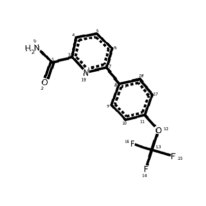 NC(=O)c1cccc(-c2ccc(OC(F)(F)F)cc2)n1